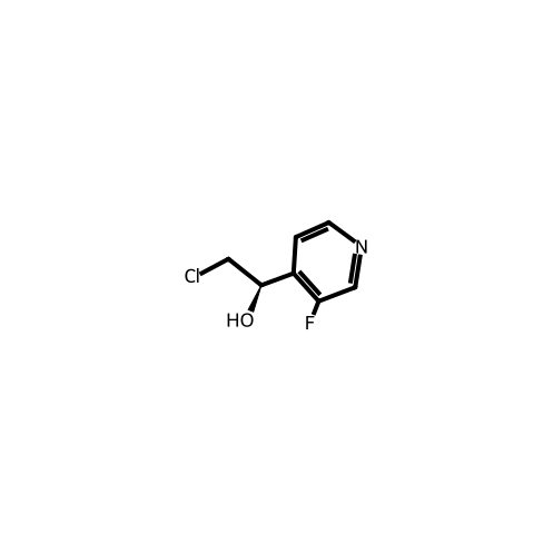 O[C@@H](CCl)c1ccncc1F